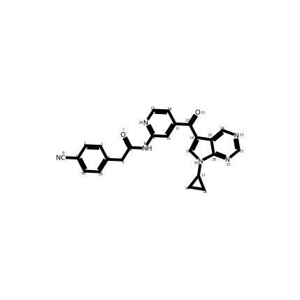 N#Cc1ccc(CC(=O)Nc2cc(C(=O)c3cn(C4CC4)c4ncncc34)ccn2)cc1